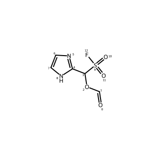 O=COC(c1ncc[nH]1)S(=O)(=O)F